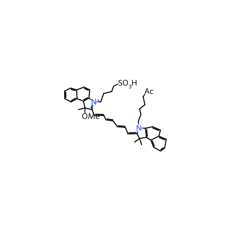 COC1(C)C(/C=C/C=C/C=C/C=C2\N(CCCCCC(C)=O)c3ccc4ccccc4c3C2(C)C)=[N+](CCCCS(=O)(=O)O)c2ccc3ccccc3c21